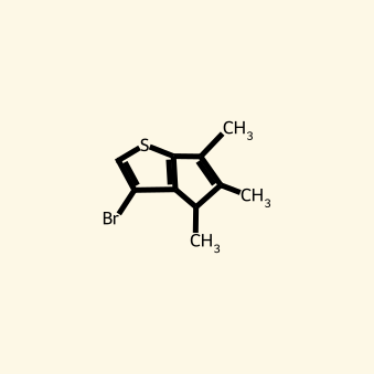 CC1=C(C)C(C)c2c(Br)csc21